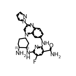 NC(=O)c1cc(F)c(N[C@@H]2CCCC[C@@H]2N)nc1Nc1ccc2nc(-n3cccn3)cnc2c1